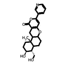 C[C@]12CC[C@H](O)[C@@H](CO)C1CCC1Oc3cc(-c4cccnc4)oc(=O)c3CC12